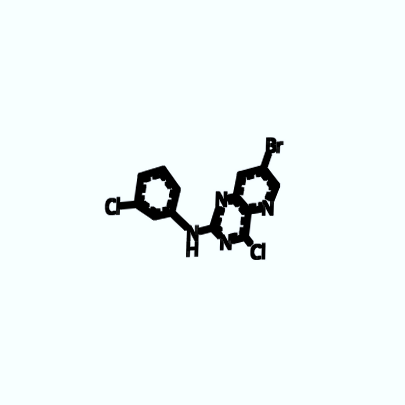 Clc1cccc(Nc2nc(Cl)c3ncc(Br)cc3n2)c1